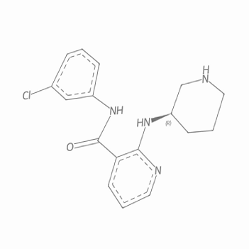 O=C(Nc1cccc(Cl)c1)c1cccnc1N[C@@H]1CCCNC1